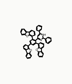 C1=C(c2ccccc2)NC(c2ccccc2)N=C1c1c(-c2cccc3c2oc2ccccc23)cc(-c2cccc3c2oc2ccccc23)cc1-c1cccc2c1oc1ccccc12